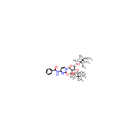 CCC(C)(C)C(C)(C)OC[C@H]1O[C@@H](n2ccc(NC(=O)c3ccccc3)nc2=O)C(O)[C@H]1O[Si](C)(C)C(C)(C)C